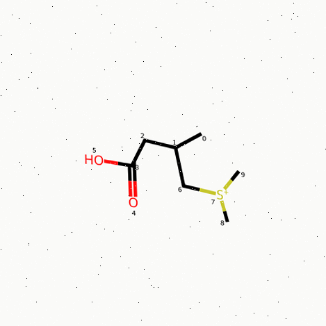 CC(CC(=O)O)C[S+](C)C